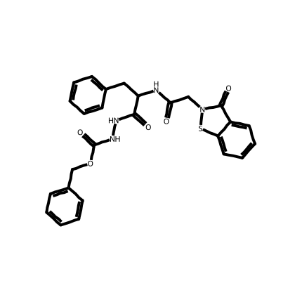 O=C(Cn1sc2ccccc2c1=O)NC(Cc1ccccc1)C(=O)NNC(=O)OCc1ccccc1